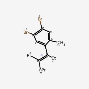 CCC/C(CC)=C(\CC)c1cc(Br)c(Br)cc1C